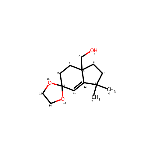 CC1(C)CCC2(CO)CCC3(C=C12)OCCO3